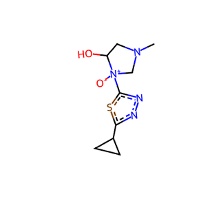 CN1CC(O)[N+]([O-])(c2nnc(C3CC3)s2)C1